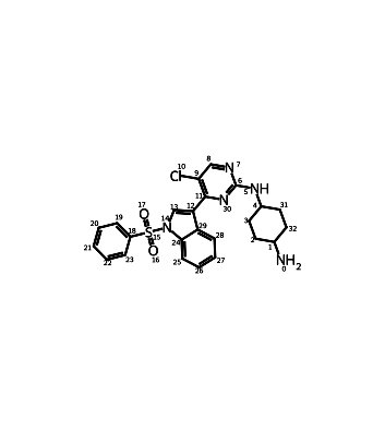 NC1CCC(Nc2ncc(Cl)c(-c3cn(S(=O)(=O)c4ccccc4)c4ccccc34)n2)CC1